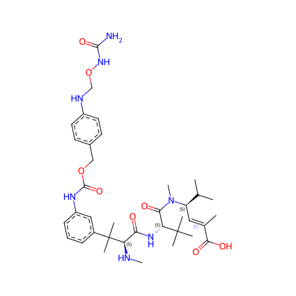 CN[C@H](C(=O)N[C@H](C(=O)N(C)[C@H](/C=C(\C)C(=O)O)C(C)C)C(C)(C)C)C(C)(C)c1cccc(NC(=O)OCc2ccc(NCONC(N)=O)cc2)c1